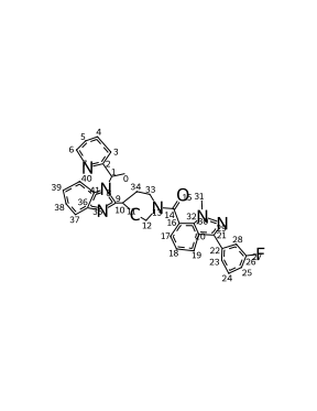 CC(c1ccccn1)n1c(C2CCN(C(=O)c3cccc4c(-c5cccc(F)c5)nn(C)c34)CC2)nc2ccccc21